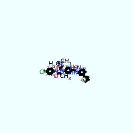 C[C@@H](C(=O)Nc1ccc(Cl)cc1)N(C(=O)CN(C)C)c1ccc(C(=O)Nc2cc(-c3cccs3)ccc2N)cc1